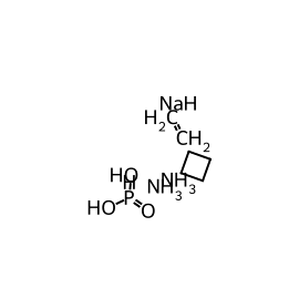 C1CCC1.C=C.N.N.O=[PH](O)O.[NaH]